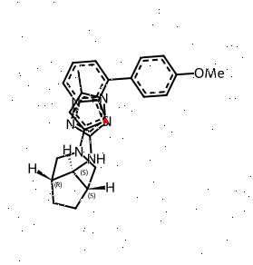 COc1ccc(-c2cccn3nc(N[C@@H]4[C@@H]5CC[C@H]4CN(c4cc(C)ns4)C5)nc23)cc1